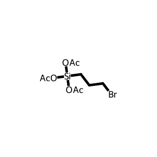 CC(=O)O[Si](CCCBr)(OC(C)=O)OC(C)=O